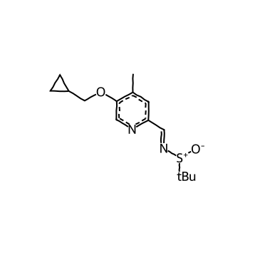 Cc1cc(C=N[S+]([O-])C(C)(C)C)ncc1OCC1CC1